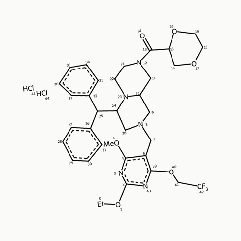 CCOc1nc(OC)c(CN2CC3CN(C(=O)C4COCCO4)CCN3C(C(c3ccccc3)c3ccccc3)C2)c(OCC(F)(F)F)n1.Cl.Cl